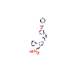 O=C(O)C=Cc1cn(Cc2ccc3cc(OCc4ccccc4)ccc3c2)cc1-c1ccccc1